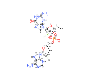 CC[C@H]1O[C@@H](n2cnc3c(=O)[nH]c(N)nc32)[C@H](F)[C@@H]1OP(=O)(O)OC[C@@H]1C[C@@H](F)[C@H](n2cnc3c(N)ncnc32)O1